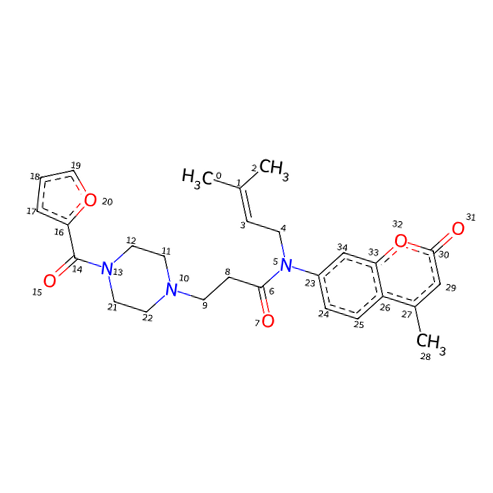 CC(C)=CCN(C(=O)CCN1CCN(C(=O)c2ccco2)CC1)c1ccc2c(C)cc(=O)oc2c1